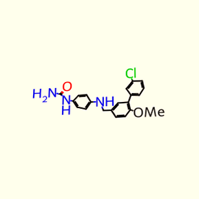 COc1ccc(CNc2ccc(NC(N)=O)cc2)cc1-c1cccc(Cl)c1